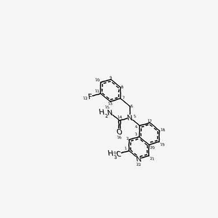 Cc1cc2c(N(Cc3cccc(F)c3)C(N)=O)cccc2cn1